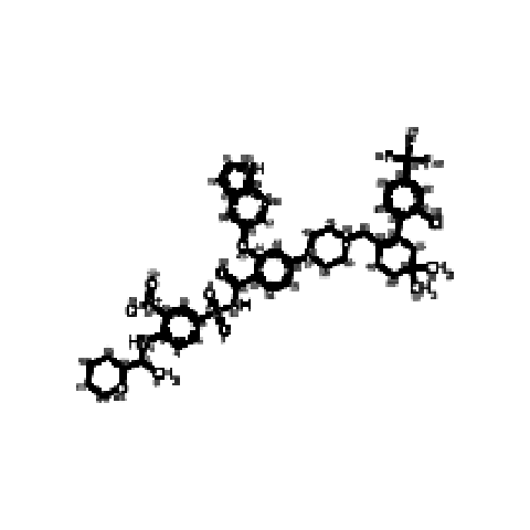 CC(Nc1ccc(S(=O)(=O)NC(=O)c2ccc(N3CCN(CC4=C(c5ccc(C(F)(F)F)cc5Cl)CC(C)(C)CC4)CC3)cc2Oc2cnc3[nH]ccc3c2)cc1[N+](=O)[O-])C1CCCCO1